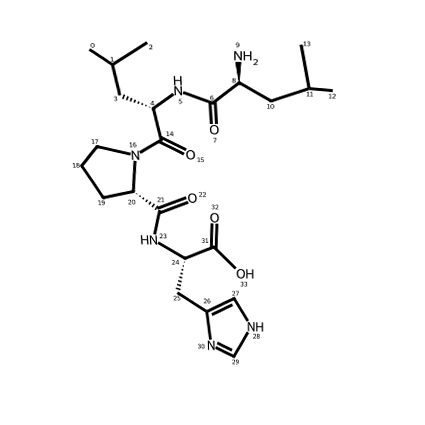 CC(C)C[C@H](NC(=O)[C@@H](N)CC(C)C)C(=O)N1CCC[C@H]1C(=O)N[C@@H](Cc1c[nH]cn1)C(=O)O